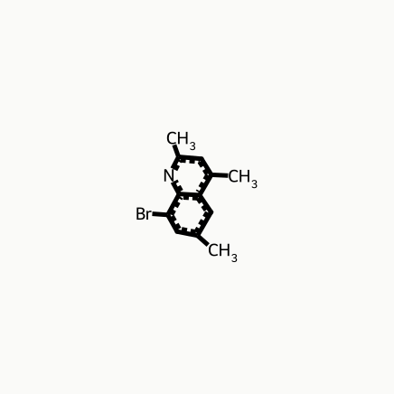 Cc1cc(Br)c2nc(C)cc(C)c2c1